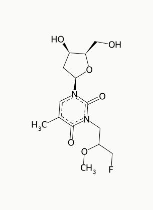 COC(CF)Cn1c(=O)c(C)cn([C@H]2C[C@@H](O)[C@@H](CO)O2)c1=O